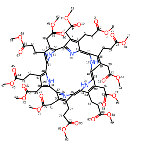 COC(=O)CCC1=C(CC(=O)OC)c2nc1c1[nH]c(c(CC(=O)OC)c1CCC(=O)OC)c1[nH]c(c3nc(c4[nH]c(c(CCC(=O)OC)c4CC(=O)OC)c4[nH]c2c(CC(=O)OC)c4CCC(=O)OC)C(CC(=O)OC)=C3CCC(=O)OC)c(CCC(=O)OC)c1CC(=O)OC